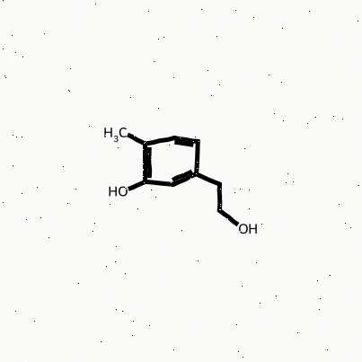 Cc1ccc(CCO)cc1O